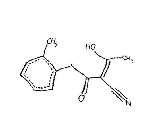 CC(O)=C(C#N)C(=O)Sc1ccccc1C